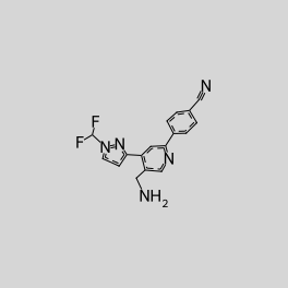 N#Cc1ccc(-c2cc(-c3ccn(C(F)F)n3)c(CN)cn2)cc1